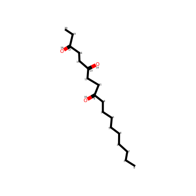 CCCCCCCCCC(=O)CCC(=O)CCC(=O)CC